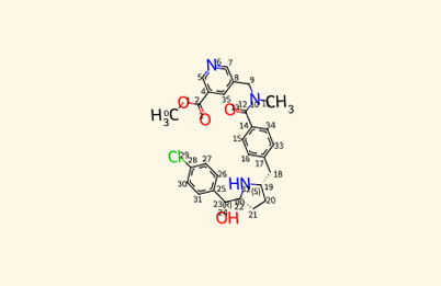 COC(=O)c1cncc(CN(C)C(=O)c2ccc(C[C@@H]3CC[C@H]([C@H](O)c4ccc(Cl)cc4)N3)cc2)c1